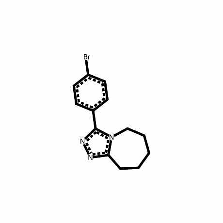 Brc1ccc(-c2nnc3n2CCCCC3)cc1